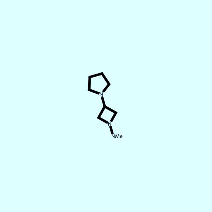 CNN1CC(N2CCCC2)C1